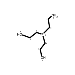 NCCP(CCO)CCO